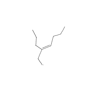 [CH2]CC(=CCCC)CCC